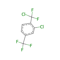 FC(F)(F)c1ccc(C(F)(F)Cl)c(Cl)c1